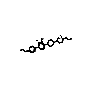 CCCc1ccc(-c2ccc(C3CCC(C4CCC(CCC)OC4)CC3)c(F)c2F)cc1